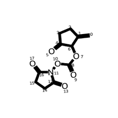 C=C1CCC(=O)C1OC(=O)ON1C(=O)CCC1=O